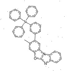 Cc1cc2oc3nc4ccccc4n3c2cc1-c1cccc([Si](c2ccccc2)(c2ccccc2)c2ccccc2)c1